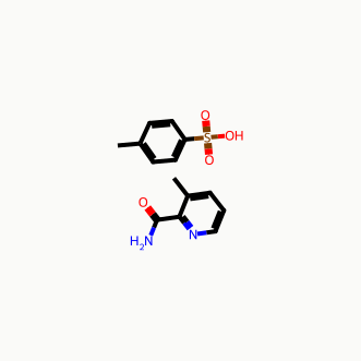 Cc1ccc(S(=O)(=O)O)cc1.Cc1cccnc1C(N)=O